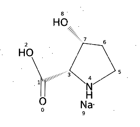 O=C(O)[C@H]1NCC[C@H]1O.[Na]